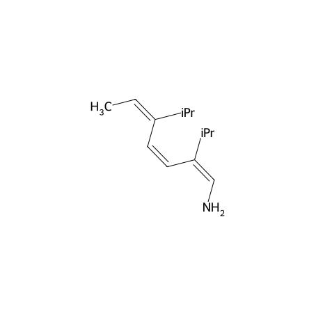 C\C=C(/C=C\C(=C/N)C(C)C)C(C)C